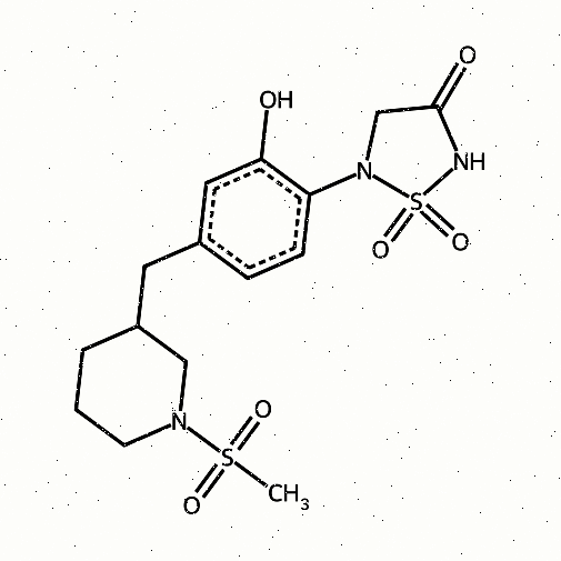 CS(=O)(=O)N1CCCC(Cc2ccc(N3CC(=O)NS3(=O)=O)c(O)c2)C1